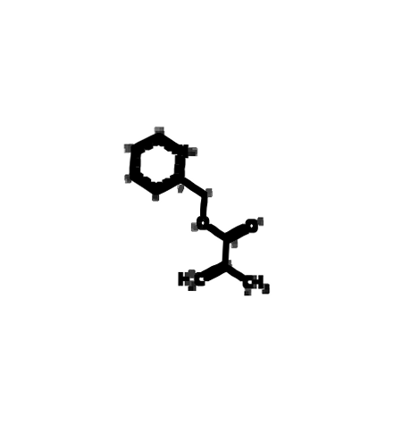 C=C(C)C(=O)OCc1ccccn1